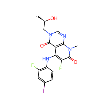 [CH2][C@@H](O)Cn1cnc2c(c(Nc3ccc(I)cc3F)c(F)c(=O)n2C)c1=O